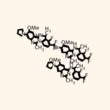 COc1cc2c(NC(C)c3cccc(C(F)F)c3F)nc(C)nc2cc1Br.COc1cc2c(NC(C)c3cccc(C(F)F)c3F)nc(C)nc2cc1N1CCCC1.COc1cc2c(NC(C)c3cccc(C(F)F)c3F)nc(C)nc2cc1N1CCCC1